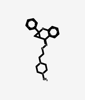 CN1CCN(CCON=C2c3ccccc3OC3(c4ccccc4)CC23)CC1